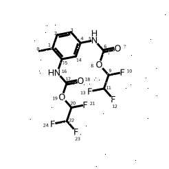 Cc1ccc(NC(=O)OC(F)C(F)F)cc1NC(=O)OC(F)C(F)F